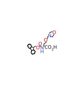 O=C(N[C@@H](CCOCCN1CCOCC1)C(=O)O)OCC1c2ccccc2-c2ccccc21